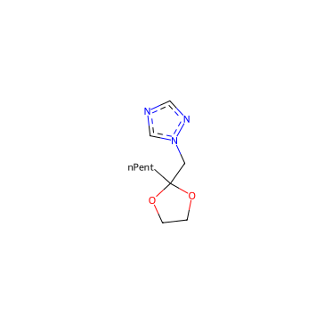 CCCCCC1(Cn2cncn2)OCCO1